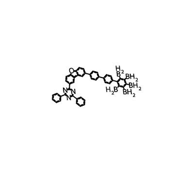 Bc1c(B)c(B)c(-c2ccc(-c3ccc(-c4ccc5oc6ccc(-c7nc(-c8ccccc8)nc(-c8ccccc8)n7)cc6c5c4)cc3)cc2)c(B)c1B